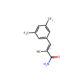 N#C/C(=C\c1cc(C(F)(F)F)cc(C(F)(F)F)c1)C(N)=O